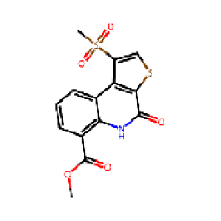 COC(=O)c1cccc2c1[nH]c(=O)c1scc(S(C)(=O)=O)c12